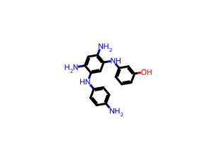 Nc1ccc(Nc2cc(Nc3cccc(O)c3)c(N)cc2N)cc1